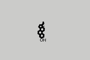 C/C=C1\CCC2C3CCC4=CC(O)CCC4C3CC[C@@]12C